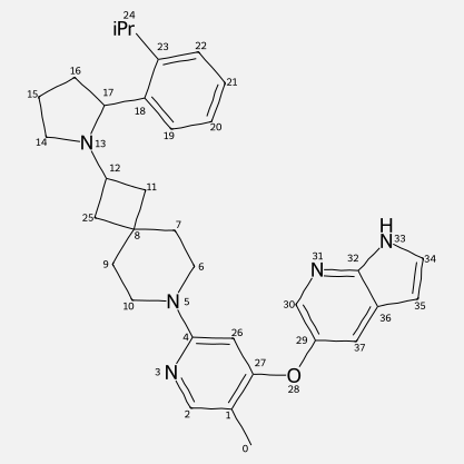 Cc1cnc(N2CCC3(CC2)CC(N2CCCC2c2ccccc2C(C)C)C3)cc1Oc1cnc2[nH]ccc2c1